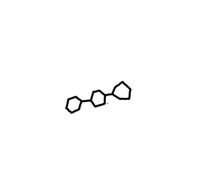 [CH]1CC(C2CCCCC2)CCC1C1CCCCC1